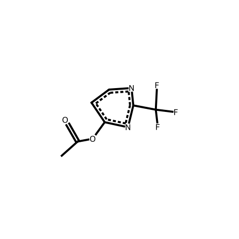 CC(=O)Oc1ccnc(C(F)(F)F)n1